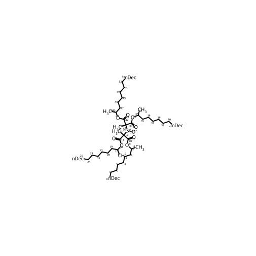 CCCCCCCCCCCCCCCCC(C)OC(=O)C(C)(C(=O)OC(C)CCCCCCCCCCCCCCCC)[S+]([O-])C(C)(C(=O)OC(C)CCCCCCCCCCCCCCCC)C(=O)OC(C)CCCCCCCCCCCCCCCC